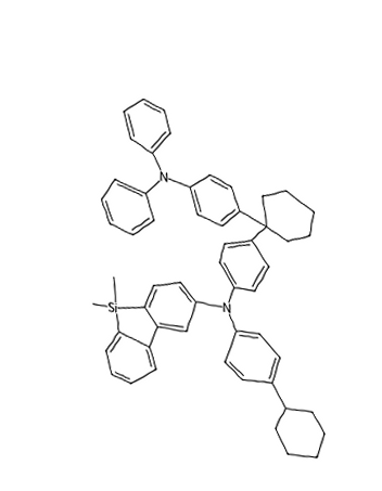 C[Si]1(C)c2ccccc2-c2cc(N(c3ccc(C4CCCCC4)cc3)c3ccc(C4(c5ccc(N(c6ccccc6)c6ccccc6)cc5)CCCCC4)cc3)ccc21